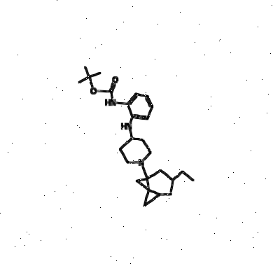 CCC1CC2CC23CC3(N2CCC(Nc3ccccc3NC(=O)OC(C)(C)C)CC2)C1